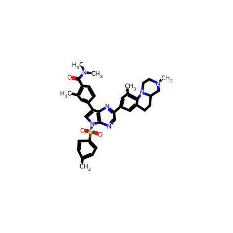 Cc1ccc(S(=O)(=O)n2cc(-c3ccc(C(=O)N(C)C)c(C)c3)c3nc(-c4cc(C)c5c(c4)CCC4CN(C)CCN54)cnc32)cc1